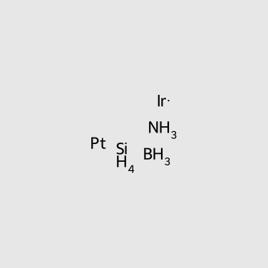 B.N.[Ir].[Pt].[SiH4]